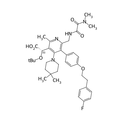 Cc1nc(CNC(=O)C(=O)N(C)C)c(-c2ccc(OCCc3ccc(F)cc3)cc2)c(N2CCC(C)(C)CC2)c1[C@H](OC(C)(C)C)C(=O)O